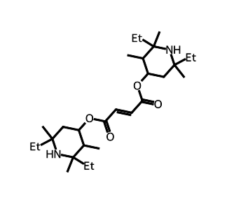 CCC1(C)CC(OC(=O)C=CC(=O)OC2CC(C)(CC)NC(C)(CC)C2C)C(C)C(C)(CC)N1